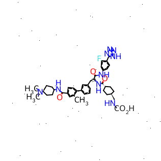 Cc1cc(C(=O)NC2CCC(N(C)C)CC2)ccc1-c1cccc(C[C@H](NC(=O)[C@H]2CC[C@H](CNC(=O)O)CC2)C(=O)Nc2ccc(-c3nnn[nH]3)c(F)c2)c1